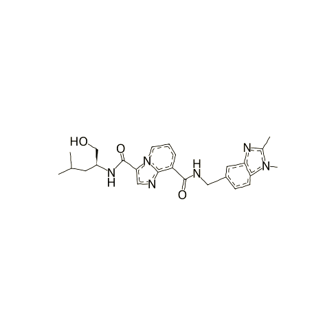 Cc1nc2cc(CNC(=O)c3cccn4c(C(=O)N[C@H](CO)CC(C)C)cnc34)ccc2n1C